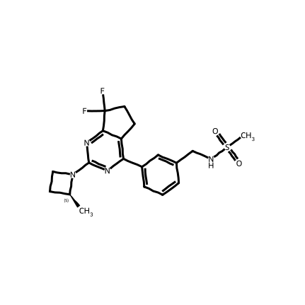 C[C@H]1CCN1c1nc(-c2cccc(CNS(C)(=O)=O)c2)c2c(n1)C(F)(F)CC2